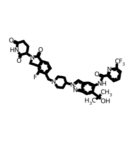 CC(C)(O)c1cc2nn(C3CCN(Cc4ccc5c(c4F)CN(C4CCC(=O)NC4=O)C5=O)CC3)cc2cc1NC(=O)c1cccc(C(F)(F)F)n1